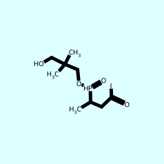 CC(CC(=O)I)[PH](=O)OCC(C)(C)CO